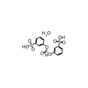 O.O=[PH](Oc1cccc(S(=O)(=O)O)c1)Oc1cccc(S(=O)(=O)O)c1